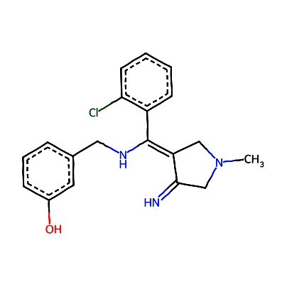 CN1CC(=N)/C(=C(\NCc2cccc(O)c2)c2ccccc2Cl)C1